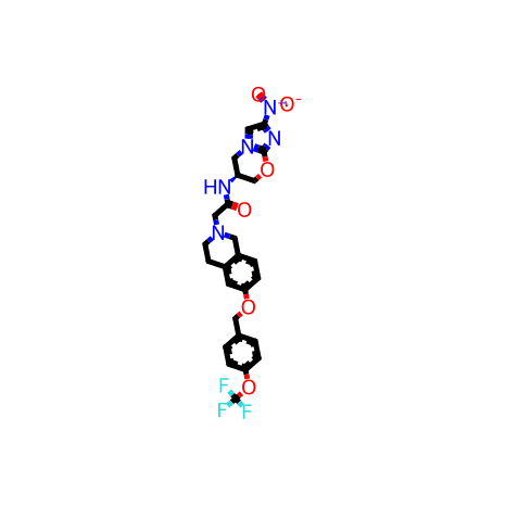 O=C(CN1CCc2cc(OCc3ccc(OC(F)(F)F)cc3)ccc2C1)N[C@@H]1COc2nc([N+](=O)[O-])cn2C1